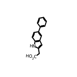 O=C(O)Cc1cc2cc(-c3ccccc3)ccc2[nH]1